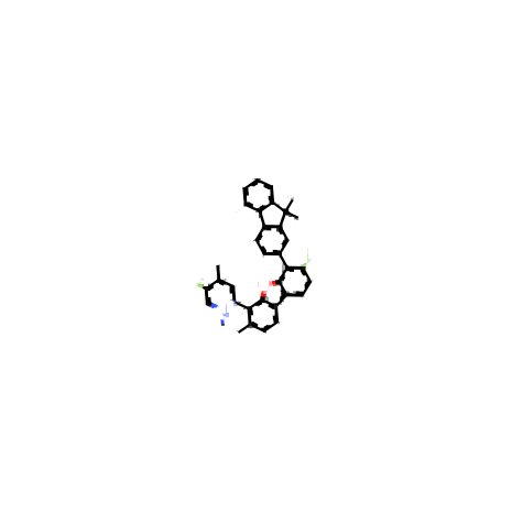 Cc1cc(-c2c(C)ccc3c2oc2c(-c4ccc5c(c4)C(C)(C)c4ccccc4-5)c(F)ccc23)[n+](C)cc1F